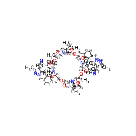 Cc1nn(Cc2ccc(C[C@H]3OC(=O)[C@H](CC(C)C)N(C)C(=O)[C@@H](C)OC(=O)[C@H](CC(C)C)N(C)C(=O)[C@@H](Cc4ccc(Cn5nc(C)c(C#N)c5C)cc4)OC(=O)[C@H](CC(C)C)N(C)C(=O)[C@@H](C)OC(=O)[C@H](CC(C)C)N(C)C3=O)cc2)c(C)c1C#N